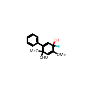 COC1=CC(C=O)(OC)C(c2ccccc2)=CC1(O)F